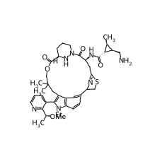 CCn1c(-c2cccnc2[C@H](C)OC)c2c3cc(ccc31)C1CSC(=N1)C[C@H](NC(=O)[C@@H]1[C@@H](C)[C@H]1CN)C(=O)N1CCC[C@H](N1)C(=O)OCC(C)(C)C2